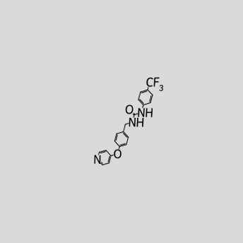 O=C(NCc1ccc(Oc2ccncc2)cc1)Nc1ccc(C(F)(F)F)cc1